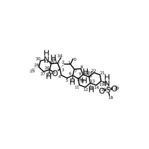 CC1C[C@]2(CC[C@@H]3C1C[C@H]1[C@H]3CC[C@@H]3C[C@H](NS(C)(=O)=O)CC[C@@]31C)O[C@@H]1C[C@H](C)CN[C@H]1[C@H]2C